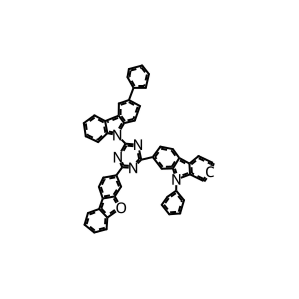 c1ccc(-c2ccc3c(c2)c2ccccc2n3-c2nc(-c3ccc4c(c3)oc3ccccc34)nc(-c3ccc4c5ccccc5n(-c5ccccc5)c4c3)n2)cc1